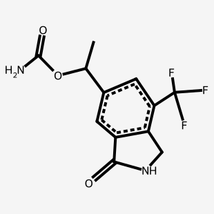 CC(OC(N)=O)c1cc2c(c(C(F)(F)F)c1)CNC2=O